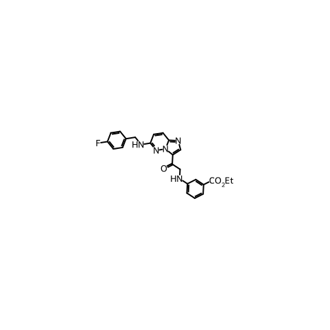 CCOC(=O)c1cccc(NCC(=O)c2cnc3ccc(NCc4ccc(F)cc4)nn23)c1